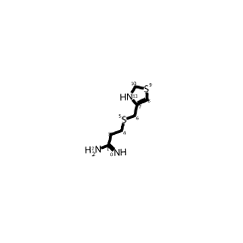 N=C(N)CCSCC1=CSCN1